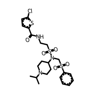 CC(C)N1CCC(N(CS(=O)(=O)c2ccccc2)S(=O)(=O)CCNC(=O)c2ccc(Cl)s2)CC1